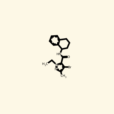 CCn1nc(C)c(Br)c1C(=O)NC1CCCc2ccccc21